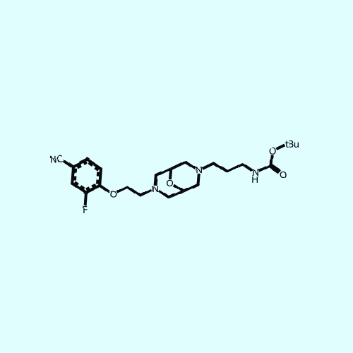 CC(C)(C)OC(=O)NCCCN1CC2CN(CCOc3ccc(C#N)cc3F)CC(C1)O2